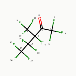 O=C(C(F)(F)F)C(F)(C(F)(F)F)C(F)(F)C(F)(F)F